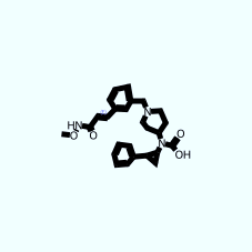 CONC(=O)/C=C/c1cccc(CN2CCC(N(C(=O)O)C3CC3c3ccccc3)CC2)c1